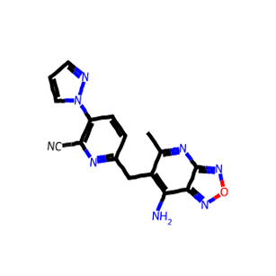 Cc1nc2nonc2c(N)c1Cc1ccc(-n2cccn2)c(C#N)n1